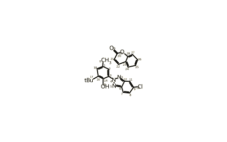 Cc1cc(-n2nc3ccc(Cl)cc3n2)c(O)c(C(C)(C)C)c1.O=c1ccc2ccccc2o1